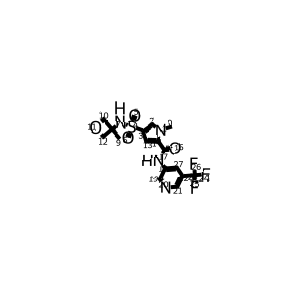 Cn1cc(S(=O)(=O)NC2(C)COC2)cc1C(=O)Nc1cncc(C(F)(F)F)c1